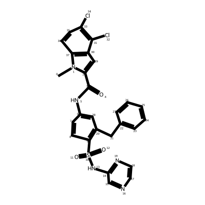 Cn1c(C(=O)Nc2ccc(S(=O)(=O)Nc3cnccn3)c(Cc3ccccc3)c2)cc2c(Cl)c(Cl)ccc21